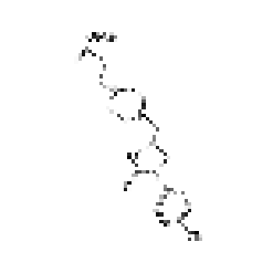 COC(=O)CCN1CCN(CC2CN(c3ccc(C#N)cc3)C(=O)O2)CC1